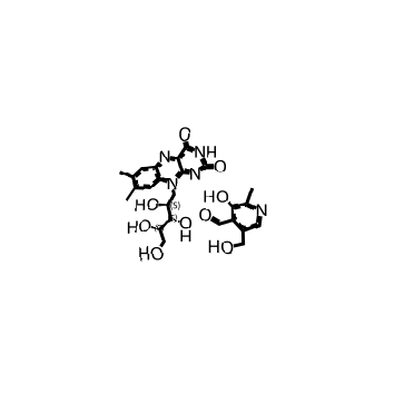 Cc1cc2nc3c(=O)[nH]c(=O)nc-3n(C[C@H](O)[C@H](O)[C@H](O)CO)c2cc1C.Cc1ncc(CO)c(C=O)c1O